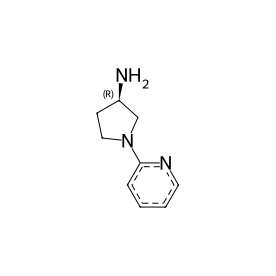 N[C@@H]1CCN(c2ccccn2)C1